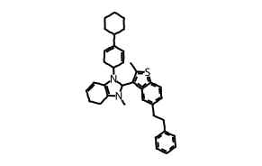 Cc1sc2ccc(CCc3ccccc3)cc2c1C1N(C)C2=C(C=CCC2)N1C1C=CC(C2CCCCC2)=CC1